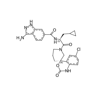 Nc1n[nH]c2cc(C(=O)N[C@@H](CC3CC3)C(=O)N3CCC[C@@]4(C3)OC(=O)Nc3ccc(Cl)cc34)ccc12